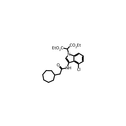 CCOC(=O)C(C(=O)OCC)n1cc(NC(=O)CC2CCCCCC2)c2c(Cl)cccc21